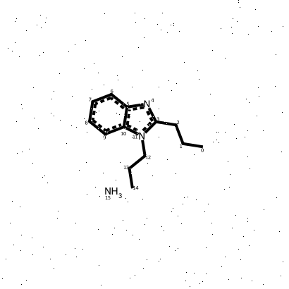 CCCc1nc2ccccc2n1CCC.N